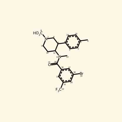 Cc1ccc(C2CN(C(=O)O)CCC2N(C)C(=O)c2cc(Br)cc(C(F)(F)F)c2)cc1